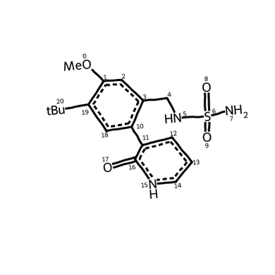 COc1cc(CNS(N)(=O)=O)c(-c2ccc[nH]c2=O)cc1C(C)(C)C